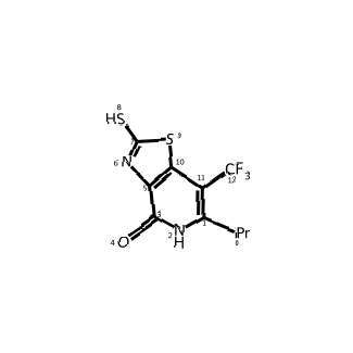 CC(C)c1[nH]c(=O)c2nc(S)sc2c1C(F)(F)F